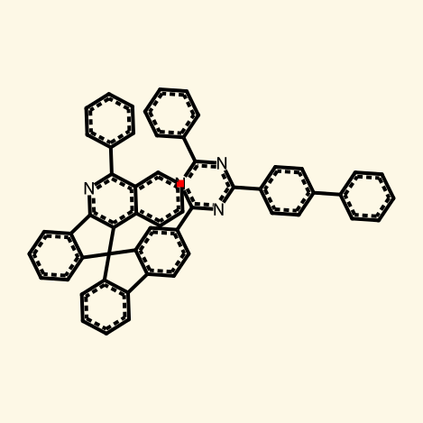 c1ccc(-c2ccc(-c3nc(-c4ccccc4)nc(-c4ccc5c(c4)C4(c6ccccc6-5)c5ccccc5-c5nc(-c6ccccc6)c6ccccc6c54)n3)cc2)cc1